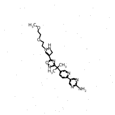 COCCOCCN1C=C(c2nc(C(C)(C)c3ccc(-c4cnc(N)nc4)nc3)no2)CN1